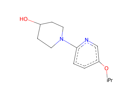 CC(C)Oc1ccc(N2CCC(O)CC2)nc1